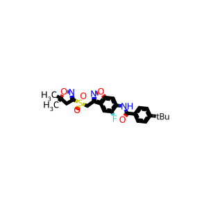 CC1(C)CC(S(=O)(=O)Cc2noc3cc(NC(=O)c4ccc(C(C)(C)C)cc4)c(F)cc23)=NO1